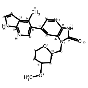 CO[C@H]1CCO[C@@H](Cn2c(=O)[nH]c3ncc(-c4cnc5[nH]ccc5c4C)cc32)C1